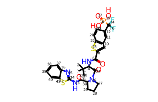 CC(C)(C)C(NC(=O)c1cc2cc(C(F)(F)P(=O)(O)O)ccc2s1)C(=O)N1CCCC1C(=O)Nc1nc2ccccc2s1